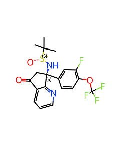 CC(C)(C)[S@@+]([O-])N[C@]1(c2ccc(OC(F)(F)F)c(F)c2)CC(=O)c2cccnc21